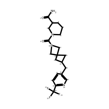 NC(=O)C1CCCN(C(=O)N2CC3(CC(Cc4ccc(C(F)(F)F)nc4)C3)C2)C1